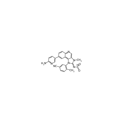 Cc1ccc(C#N)cc1-n1c(=N[SH](=O)=O)n(C)c2cnc3ccc(-c4ccc(N)nc4)cc3c21